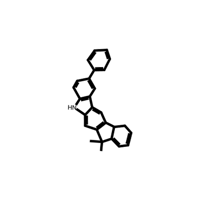 CC1(C)C2=CC=CCC2c2cc3c(cc21)[nH]c1ccc(-c2ccccc2)cc13